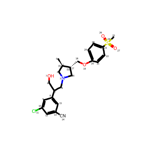 C[C@@H]1CN(CC(CO)c2cc(Cl)cc(C#N)c2)C[C@H]1COc1ccc(S(C)(=O)=O)cc1